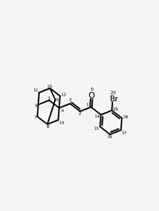 O=C(C=CC12CC3CC(CC(C3)C1)C2)c1ccccc1Br